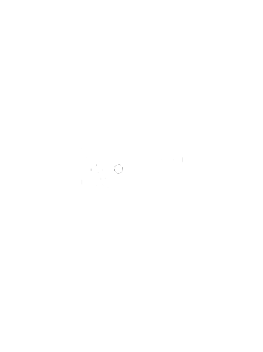 C=C(C)C(=O)OCC(COC(=O)C(=C)COC1CCCCO1)c1ccc(C2CCC(C3CCC(CCCCC)CC3)CC2)cc1